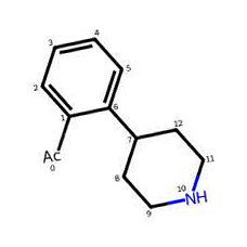 CC(=O)c1ccccc1C1CCNCC1